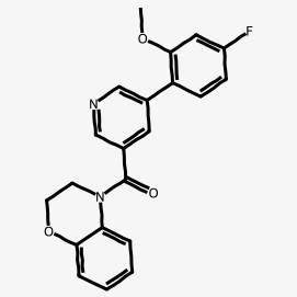 COc1cc(F)ccc1-c1cncc(C(=O)N2CCOc3ccccc32)c1